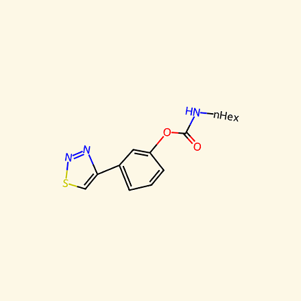 CCCCCCNC(=O)Oc1cccc(-c2csnn2)c1